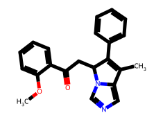 COc1ccccc1C(=O)CC1C(c2ccccc2)=C(C)c2cncn21